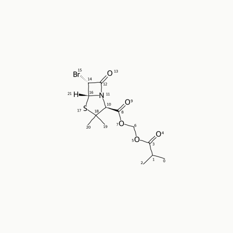 CC(C)C(=O)OCOC(=O)[C@@H]1N2C(=O)[C@@H](Br)[C@H]2SC1(C)C